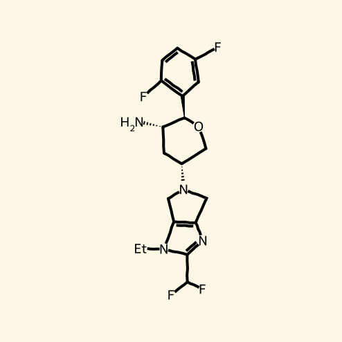 CCn1c(C(F)F)nc2c1CN([C@H]1CO[C@H](c3cc(F)ccc3F)[C@@H](N)C1)C2